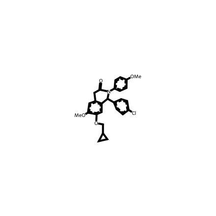 COc1ccc(N2C(=O)Cc3cc(OC)c(OCC4CC4)cc3C2c2ccc(Cl)cc2)cc1